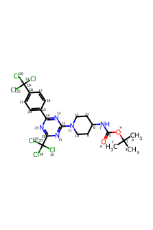 CC(C)(C)OC(=O)NC1CCN(c2nc(-c3ccc(C(Cl)(Cl)Cl)cc3)nc(C(Cl)(Cl)Cl)n2)CC1